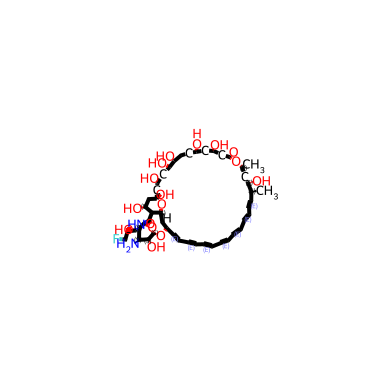 C[C@H]1C[C@H](O)[C@@H](C)/C=C/C=C/C=C/C=C/C=C/C=C/C=C/C(O[C@@H]2OC[C@@H](O)[C@H](N)[C@@H]2O)C[C@@H]2OC(O)(CC(O)CC(O)C(O)CCC(O)CC(O)CC(=O)O1)C[C@H](O)C2C(=O)NCCCF